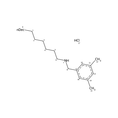 CCCCCCCCCCCCCCCCNCc1cc(C)cc(C)c1.Cl